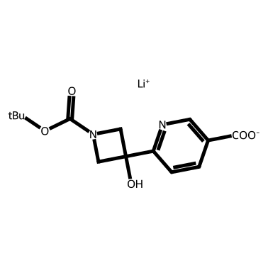 CC(C)(C)OC(=O)N1CC(O)(c2ccc(C(=O)[O-])cn2)C1.[Li+]